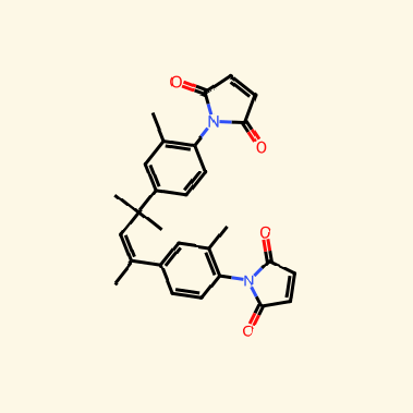 CC(=CC(C)(C)c1ccc(N2C(=O)C=CC2=O)c(C)c1)c1ccc(N2C(=O)C=CC2=O)c(C)c1